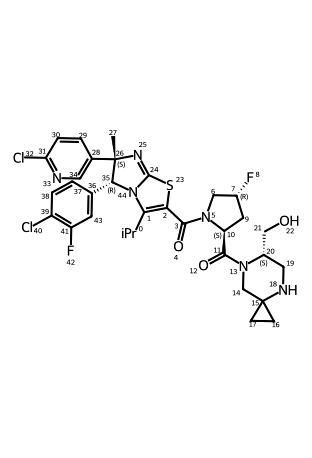 CC(C)C1=C(C(=O)N2C[C@H](F)C[C@H]2C(=O)N2CC3(CC3)NC[C@H]2CO)SC2=N[C@@](C)(c3ccc(Cl)nc3)[C@@H](c3ccc(Cl)c(F)c3)N21